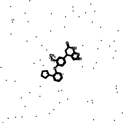 COc1cc(C2CC(=O)Nc3n[nH]cc32)ccc1Oc1ccccc1C1CCCC1